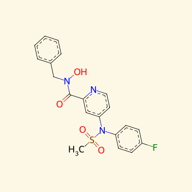 CS(=O)(=O)N(c1ccc(F)cc1)c1ccnc(C(=O)N(O)Cc2ccccc2)c1